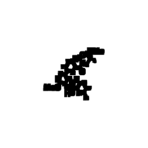 CNC(=O)C(C)Cn1cnc2ccc(-c3cnc(OC)c(NS(=O)(=O)c4cc(C)ccc4F)c3)cc2c1=O